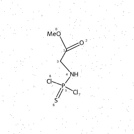 COC(=O)CNP(=S)(Cl)Cl